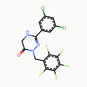 O=C1CNC(c2cc(Cl)cc(Cl)c2)=NN1Cc1c(F)c(F)c(F)c(F)c1F